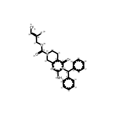 Nc1nc2c(c(=O)n1C(c1ccccc1)c1ccccc1)CCN(C(=O)OC/C(F)=C/C(F)(F)F)C2